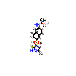 CC(=O)Nc1ccc2cc(S(=O)(=O)N3CC(=O)NC3=S)ccc2c1